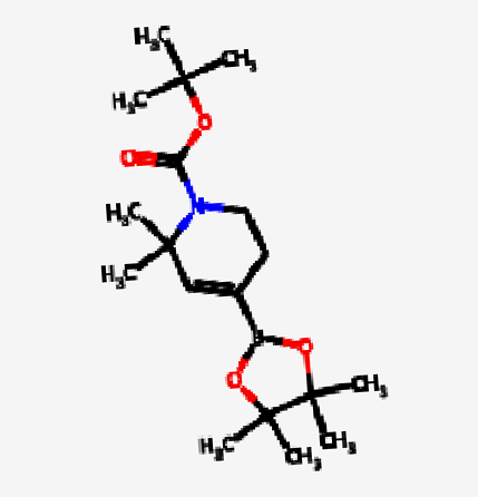 CC(C)(C)OC(=O)N1CCC(B2OC(C)(C)C(C)(C)O2)=CC1(C)C